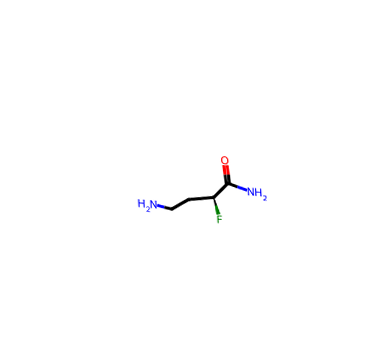 NCC[C@H](F)C(N)=O